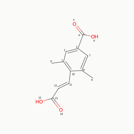 Cc1cc(C(=O)O)cc(C)c1/C=C/C(=O)O